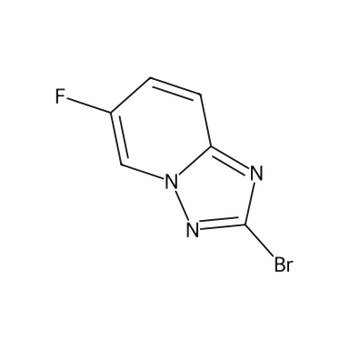 Fc1ccc2nc(Br)nn2c1